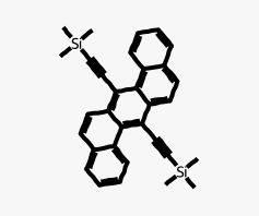 C[Si](C)(C)C#Cc1c2ccc3ccccc3c2c(C#C[Si](C)(C)C)c2ccc3ccccc3c12